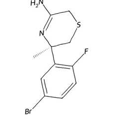 C[C@@]1(c2cc(Br)ccc2F)CSCC(N)=N1